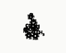 COc1c(C(=O)O)cnn1-c1cccc(-c2cccc(C)c2OCc2ccc3c(c2Cl)CCN(C2CCOC2)C3)n1